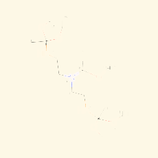 CCOC(C)(OCC)PCCN(CCPC(C)(OCC)OCC)C(CC)OC(C)C